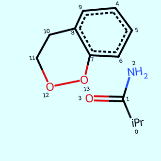 CC(C)C(N)=O.c1ccc2c(c1)CCOO2